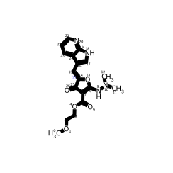 COCCOC(=O)C1=C(NN(C)C)O/C(=C\c2c[nH]c3ncccc23)C1=O